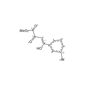 COC(=O)C(=O)/C=C(\O)c1cccc(Br)c1